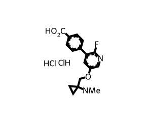 CNC1(COc2cnc(F)c(-c3ccc(C(=O)O)cc3)c2)CC1.Cl.Cl